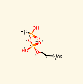 CNCCOP(=O)(O)OP(C)(=O)O